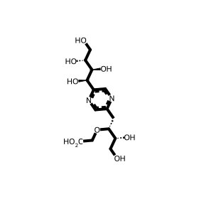 O=C(O)CO[C@H](Cc1cnc([C@@H](O)[C@H](O)[C@H](O)CO)cn1)[C@H](O)CO